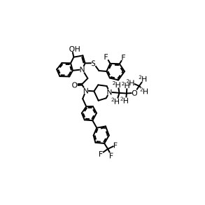 [2H]C([2H])([2H])OC([2H])([2H])C([2H])([2H])N1CCC(N(Cc2ccc(-c3ccc(C(F)(F)F)cc3)cc2)C(=O)CN2C(SCc3cccc(F)c3F)=CC(O)c3ccccc32)CC1